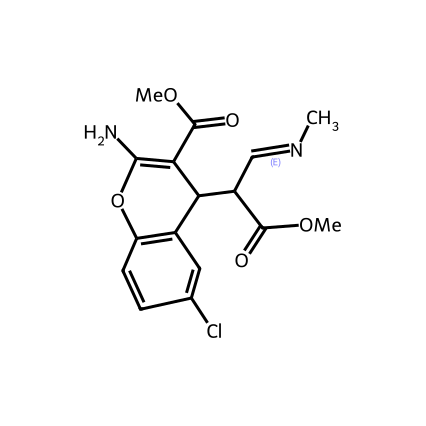 C/N=C/C(C(=O)OC)C1C(C(=O)OC)=C(N)Oc2ccc(Cl)cc21